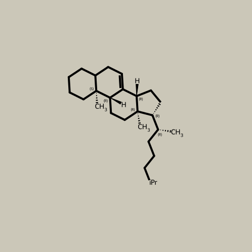 CC(C)CCC[C@@H](C)[C@H]1CC[C@H]2C3=CCC4CCCC[C@]4(C)[C@H]3CC[C@]12C